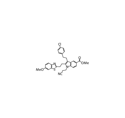 COC(=O)c1ccc2c(c1)c(CCc1ccc(Cl)cc1)c(CCc1nc3ccc(OC)cc3s1)n2CCC#N